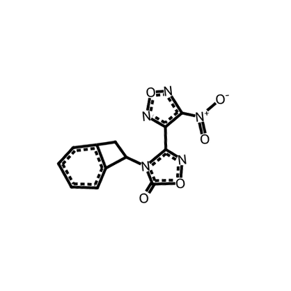 O=c1onc(-c2nonc2[N+](=O)[O-])n1C1Cc2ccccc21